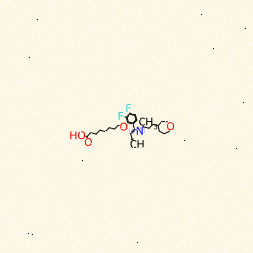 C#C/C=C(\N=C(/C)CCC1CCCOCC1)c1ccc(F)c(F)c1OCCCCCCCC(=O)O